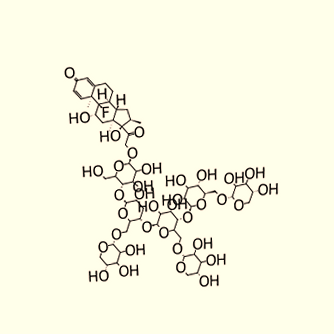 C[C@@H]1C[C@H]2[C@@H]3CCC4=CC(=O)C=C[C@]4(C)[C@@]3(F)[C@@H](O)C[C@]2(C)[C@@]1(O)C(=O)CO[C@@H]1OC(CO)[C@@H](O[C@@H]2OC(CO[C@H]3OC[C@@H](O)C(O)C3O)[C@@H](O[C@@H]3OC(CO[C@H]4OC[C@@H](O)C(O)C4O)[C@@H](O[C@@H]4O[C@H](CO[C@H]5OC[C@@H](O)C(O)C5O)[C@@H](O)C(O)C4O)C(O)C3O)C[C@@H]2O)C(O)C1O